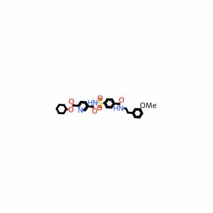 COc1cccc(CCNC(=O)c2ccc(S(=O)(=O)NC(=O)c3ccc(C(=O)OC4CCCCC4)nc3)cc2)c1